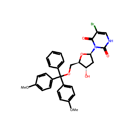 COc1ccc(C(OC[C@H]2O[C@@H](n3c(=O)[nH]cc(Br)c3=O)C[C@@H]2O)(c2ccccc2)c2ccc(OC)cc2)cc1